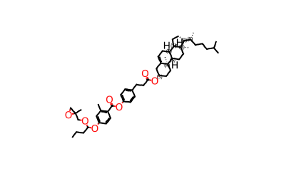 CCCC(OCC1(C)CO1)Oc1ccc(C(=O)Oc2ccc(CCC(=O)O[C@H]3CC[C@@]4(C)C(=CC[C@H]5[C@@H]6CC[C@H]([C@H](C)CCCC(C)C)[C@@]6(C)CC[C@@H]54)C3)cc2)c(C)c1